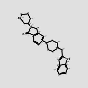 O=C1c2ccc(C3CCN(Cc4cc5ccccc5[nH]4)CC3)cc2CN1C1CCCNC1